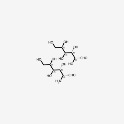 N[C@@H](C=O)[C@@H](O)[C@@H](O)[C@H](O)CO.O=C[C@H](O)[C@@H](O)[C@@H](O)[C@H](O)CO